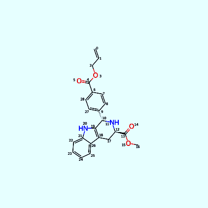 C=CCOC(=O)c1ccc([C@@H]2N[C@@H](C(=O)OC)Cc3c2[nH]c2ccccc32)cc1